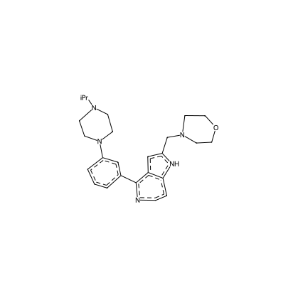 CC(C)N1CCN(c2cccc(-c3nccc4[nH]c(CN5CCOCC5)cc34)c2)CC1